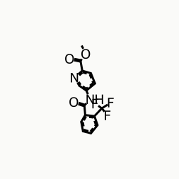 COC(=O)c1ccc(NC(=O)c2ccccc2C(F)(F)F)cn1